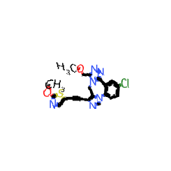 COCc1nnc2n1Cc1c(C#Cc3cnc(OC)s3)ncn1-c1ccc(Cl)cc1-2